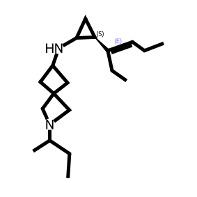 CC/C=C(\CC)[C@@H]1CC1NC1CC2(C1)CN(C(C)CC)C2